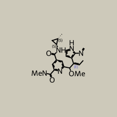 C=Nc1[nH]ccc1/C(=C\C)C(OC)c1cc(C(=O)N[C@H]2C[C@@H]2C)cc(C(=O)NC)n1